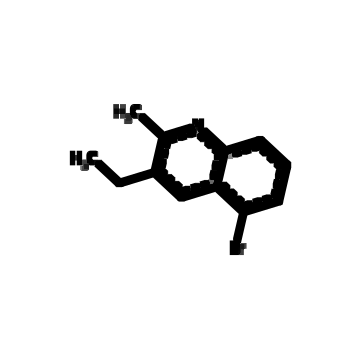 CCc1cc2c(Br)cccc2nc1C